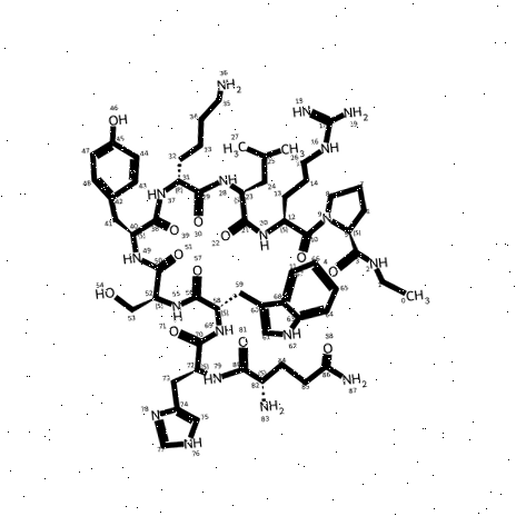 CCNC(=O)[C@@H]1CCCN1C(=O)[C@H](CCCNC(=N)N)NC(=O)[C@H](CC(C)C)NC(=O)[C@@H](CCCCN)NC(=O)[C@H](Cc1ccc(O)cc1)NC(=O)[C@H](CO)NC(=O)[C@H](Cc1c[nH]c2ccccc12)NC(=O)[C@H](Cc1c[nH]cn1)NC(=O)[C@@H](N)CCC(N)=O